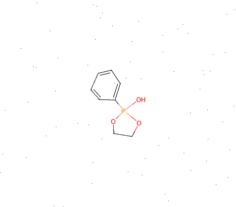 O[P]1(c2ccccc2)OCCO1